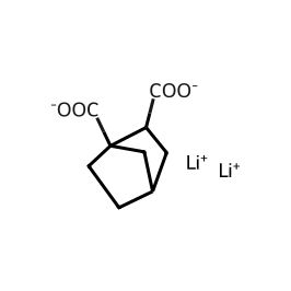 O=C([O-])C1CC2CCC1(C(=O)[O-])C2.[Li+].[Li+]